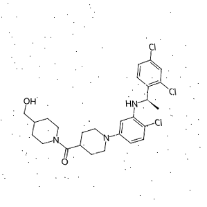 C[C@@H](Nc1cc(N2CCC(C(=O)N3CCC(CO)CC3)CC2)ccc1Cl)c1ccc(Cl)cc1Cl